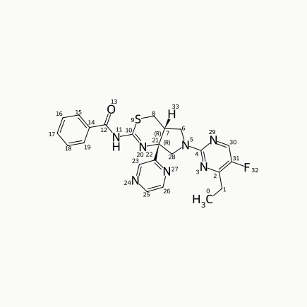 CCc1nc(N2C[C@H]3CSC(NC(=O)c4ccccc4)=N[C@@]3(c3cnccn3)C2)ncc1F